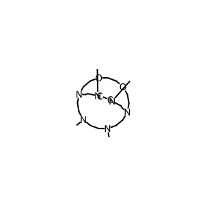 CN1CCN(C)CCN2CCOCCOCCN(CC1)CCN(C)CCN(C)CC2